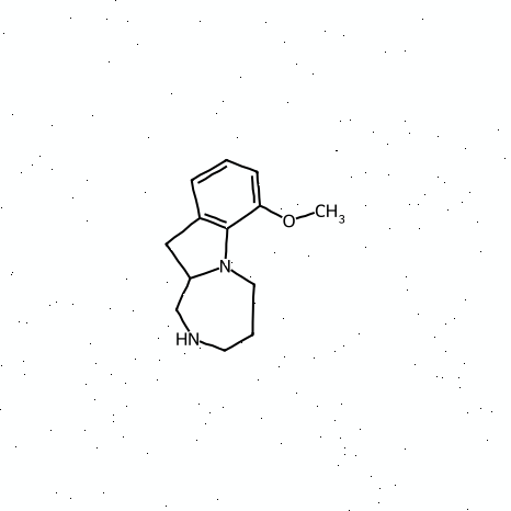 COc1cccc2c1N1CCCNCC1C2